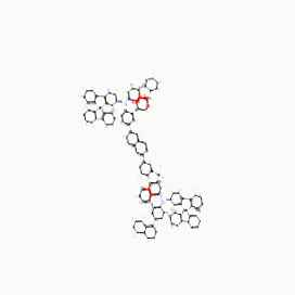 CC1(C)c2ccccc2-c2ccc(N(c3ccc4c(c3)C(c3ccccc3)(c3ccccc3)c3ccccc3-4)c3ccc(-c4ccc5cc(-c6ccc7c(c6)C(C)(C)c6cc(N(c8ccc9c(c8)C(c8ccccc8)(c8ccccc8)c8ccccc8-9)c8ccc(-c9cccc%10ccccc9%10)cc8-c8ccccc8)ccc6-7)ccc5c4)cc3-c3ccccc3)cc21